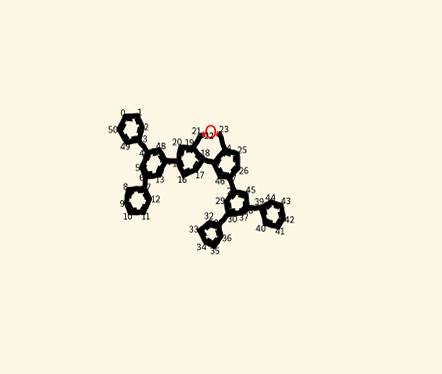 c1ccc(-c2cc(-c3ccccc3)cc(-c3ccc4c(c3)COCc3ccc(-c5cc(-c6ccccc6)cc(-c6ccccc6)c5)cc3-4)c2)cc1